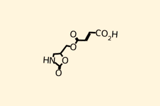 O=C(O)C=CC(=O)OCC1CNC(=O)O1